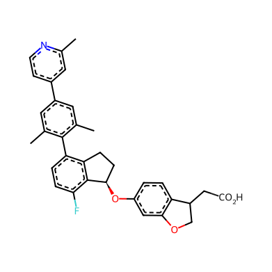 Cc1cc(-c2cc(C)c(-c3ccc(F)c4c3CC[C@H]4Oc3ccc4c(c3)OCC4CC(=O)O)c(C)c2)ccn1